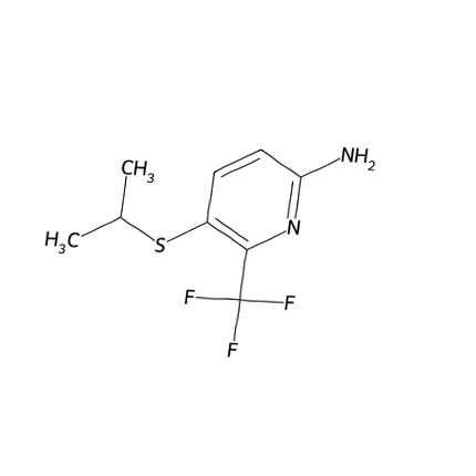 CC(C)Sc1ccc(N)nc1C(F)(F)F